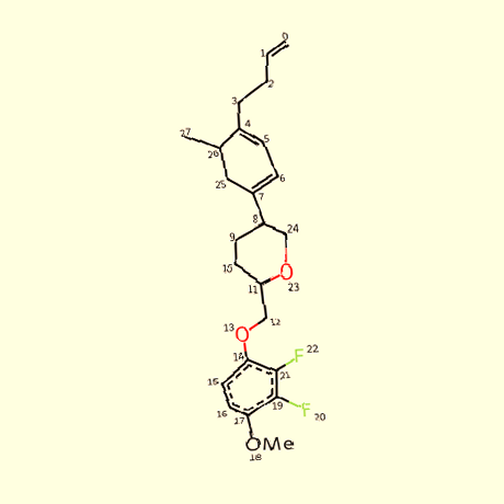 C=CCCC1=CC=C(C2CCC(COc3ccc(OC)c(F)c3F)OC2)CC1C